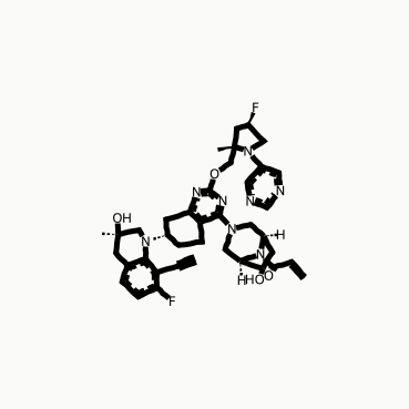 C#Cc1c(F)ccc2c1N([C@H]1CCc3c(nc(OC[C@]4(C)C[C@@H](F)CN4c4cncnc4)nc3N3C[C@H]4CC(O)[C@@H](C3)N4C(=O)C=C)C1)C[C@](C)(O)C2